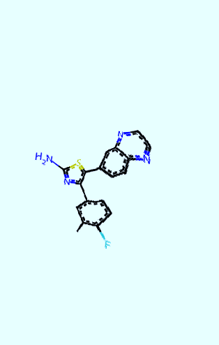 Cc1cc(-c2nc(N)sc2-c2ccc3nccnc3c2)ccc1F